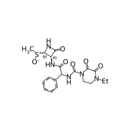 CCN1CCN(C(=O)NC(C(=O)N[C@@H]2C(=O)N[C@@H]2[S+](C)[O-])c2ccccc2)C(=O)C1=O